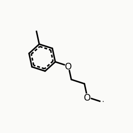 [CH2]OCCOc1cccc(C)c1